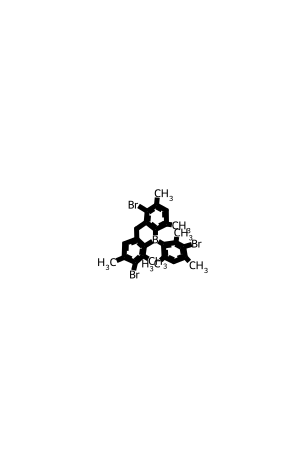 Cc1cc(C)c(B2c3c(cc(C)c(Br)c3C)Cc3c(Br)c(C)cc(C)c32)c(C)c1Br